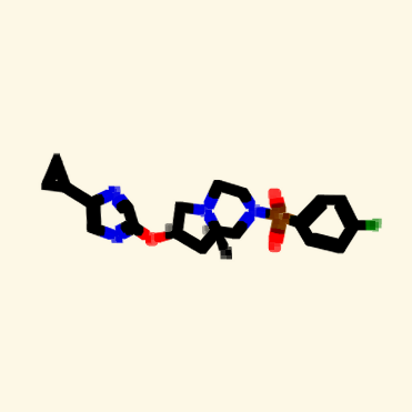 O=S(=O)(c1ccc(F)cc1)N1CCN2C[C@H](Oc3cnc(C4CC4)cn3)C[C@H]2C1